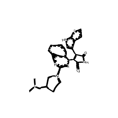 CN(C)CC1CCN(c2nc(C3=C(c4c[nH]c5sccc45)C(=O)NC3=O)c3ccccc3n2)C1